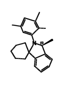 Cc1cc(C)c(C)c(N2[C@@H](C)c3ccccc3C23CCCCC3)c1